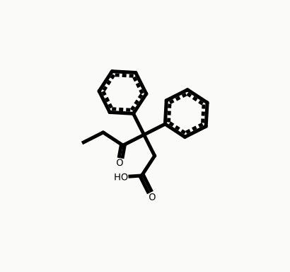 CCC(=O)C(CC(=O)O)(c1ccccc1)c1ccccc1